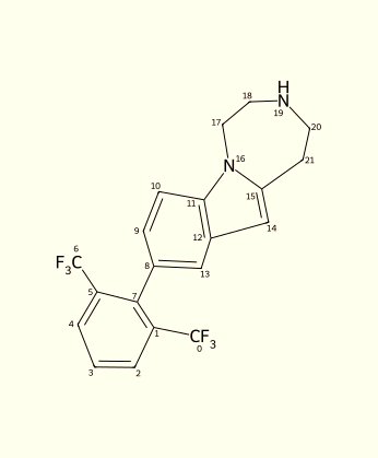 FC(F)(F)c1cccc(C(F)(F)F)c1-c1ccc2c(c1)cc1n2CCNCC1